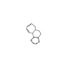 [c]1cccc2c1C1C=CC=CCC1CC2